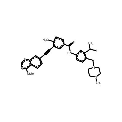 CNc1ncnc2cc(C#Cc3cc(C(=O)Nc4ccc(CN5CCN(C)CC5)c(C(C)F)c4)ccc3C)ccc12